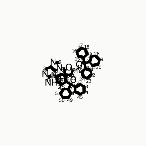 Nc1ncc2ncn([C@@H]3O[C@H](COC(c4ccccc4)(c4ccccc4)c4ccccc4)[C@@H](OC(c4ccccc4)(c4ccccc4)c4ccccc4)[C@H]3F)c2n1